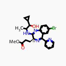 COC(=O)CC[C@@H]1N=C(c2ccccn2)c2cc(Br)ccc2N=C1NC(C)C(O)C1CC1